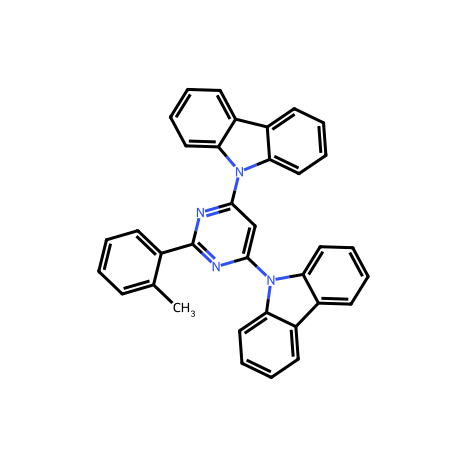 Cc1ccccc1-c1nc(-n2c3ccccc3c3ccccc32)cc(-n2c3ccccc3c3ccccc32)n1